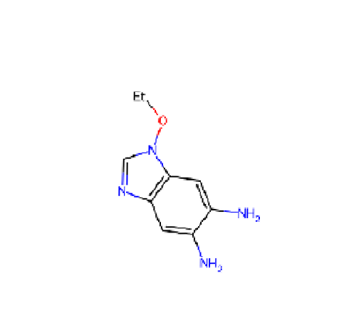 CCOn1cnc2cc(N)c(N)cc21